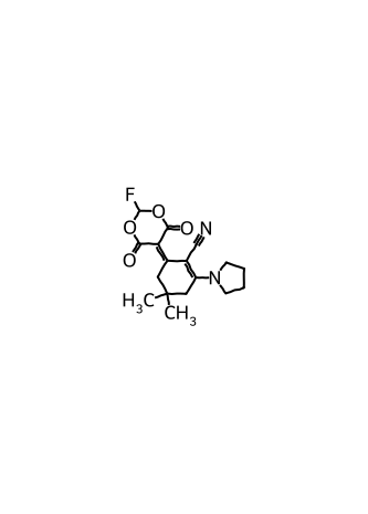 CC1(C)CC(=C2C(=O)OC(F)OC2=O)C(C#N)=C(N2CCCC2)C1